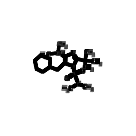 CN(C)S(=O)(=O)n1c(C(C)(C)C)nc([SiH](C)C)c1CC1CCCCC1